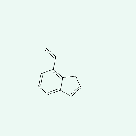 C=Cc1cccc2c1CC=C2